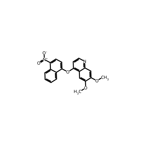 COc1cc2nccc(Oc3ccc([N+](=O)[O-])c4ccccc34)c2cc1OC